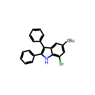 CC(C)(C)c1cc(Br)c2[nH]c(-c3ccccc3)c(-c3ccccc3)c2c1